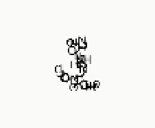 CC(=O)N1CCC(C(=O)N(CCCN2C[C@@H]3CN(C(=O)c4cccnc4N4CCCC4)C[C@@H]3C2)c2ccc(C)c(Cl)c2)CC1